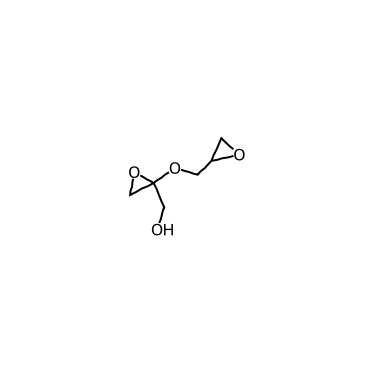 OCC1(OCC2CO2)CO1